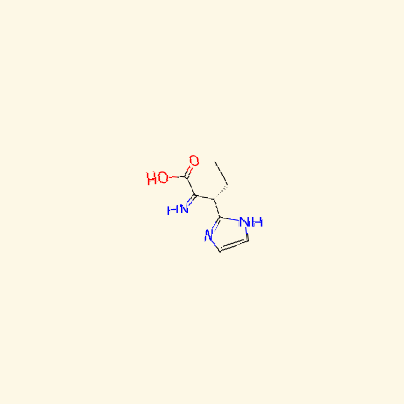 CC[C@@H](C(=N)C(=O)O)c1ncc[nH]1